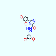 COc1cc(/C=N/NC(=O)c2cncc(-c3ccc(OC)cc3OC)n2)cc(OC)c1